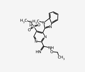 CCONC(=N)c1ncc(S(=O)(=O)NC)c(-c2nc3ccccc3n2C)n1